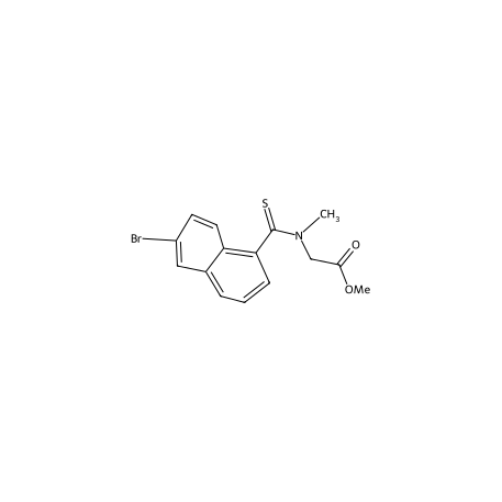 COC(=O)CN(C)C(=S)c1cccc2cc(Br)ccc12